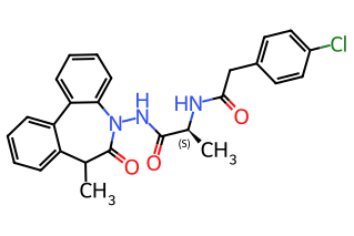 CC1C(=O)N(NC(=O)[C@H](C)NC(=O)Cc2ccc(Cl)cc2)c2ccccc2-c2ccccc21